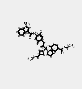 CCOC(=O)C1CCC(OC(C(=O)Cc2cc(Cl)c(NC(=O)c3cn(C)c4ccccc34)cc2F)(N2CCCC2)N2CC(COC)C2)CC1